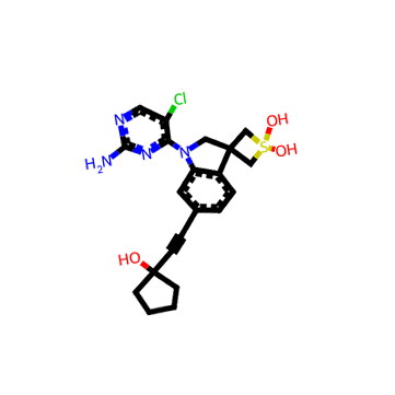 Nc1ncc(Cl)c(N2CC3(CS(O)(O)C3)c3ccc(C#CC4(O)CCCC4)cc32)n1